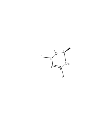 CC1=CC(C)O[C@@H](C)O1